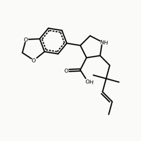 C/C=C/C(C)(C)CC1NCC(c2ccc3c(c2)OCO3)C1C(=O)O